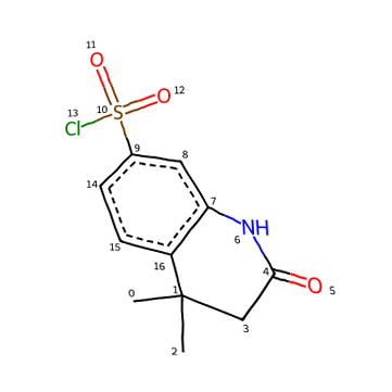 CC1(C)CC(=O)Nc2cc(S(=O)(=O)Cl)ccc21